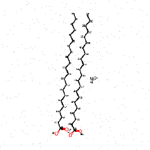 CCCCCCCCCCCCCCCCCCCCCC(=O)[O-].CCCCCCCCCCCCCCCCCCCCCC(=O)[O-].[Ni+2]